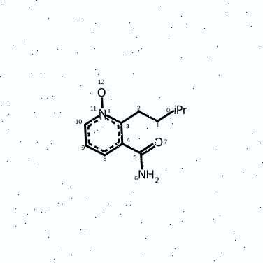 CC(C)CCc1c(C(N)=O)ccc[n+]1[O-]